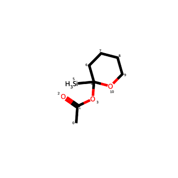 CC(=O)OC1([SiH3])CCCCO1